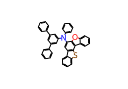 c1ccc(-c2cc(-c3ccccc3)cc(N(c3ccccc3)c3cc4c5ccccc5sc4c4c3oc3ccccc34)c2)cc1